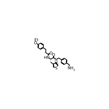 CCOc1ccc(C[CH]C(=O)N[C@@H](Cc2ccsc2)C(=O)NCc2ccc(CN)cc2)cc1